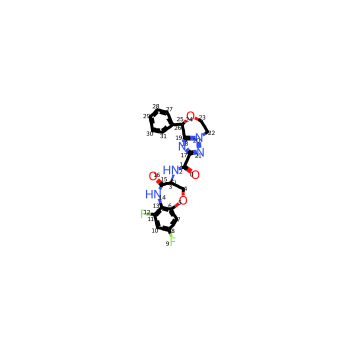 O=C(N[C@H]1COc2cc(F)cc(F)c2NC1=O)c1nc2n(n1)CCOC2c1ccccc1